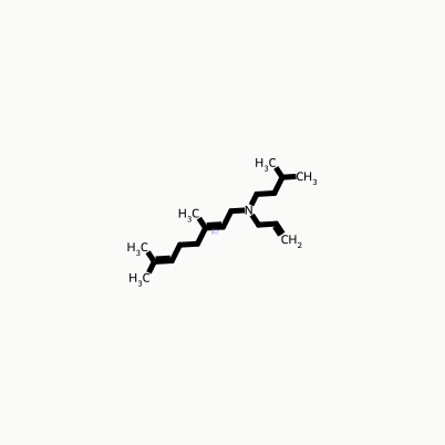 C=CCN(C/C=C(\C)CCC=C(C)C)CCC(C)C